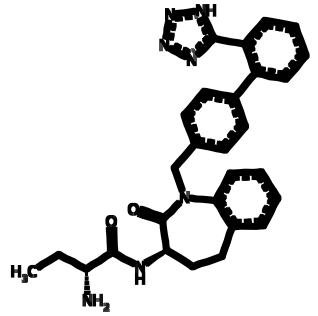 CC[C@@H](N)C(=O)N[C@@H]1CCc2ccccc2N(Cc2ccc(-c3ccccc3-c3nnn[nH]3)cc2)C1=O